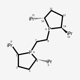 CC(C)C1CC[C@@H](C(C)C)P1CCP1[C@H](C(C)C)CC[C@H]1C(C)C